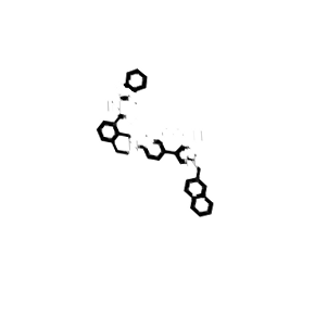 O=C(Nc1nc2ccccc2s1)c1cccc2c1CN(c1ccc(-c3cnn(Cc4ccc5ccccc5c4)c3)c(C(=O)O)n1)CC2